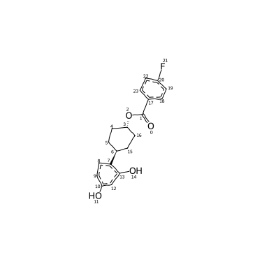 O=C(O[C@H]1CC[C@H](c2ccc(O)cc2O)CC1)c1ccc(F)cc1